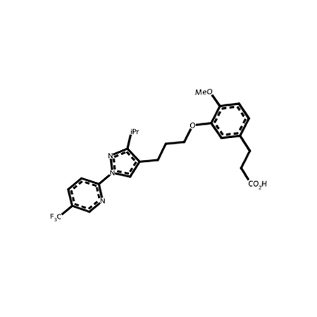 COc1ccc(CCC(=O)O)cc1OCCCc1cn(-c2ccc(C(F)(F)F)cn2)nc1C(C)C